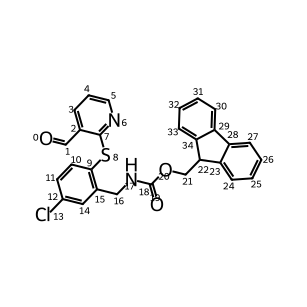 O=Cc1cccnc1Sc1ccc(Cl)cc1CNC(=O)OCC1c2ccccc2-c2ccccc21